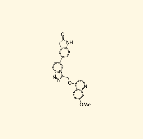 COc1ccc2c(OCc3nnc4ccc(-c5ccc6c(c5)CC(=O)N6)cn34)ccnc2c1